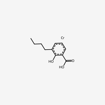 CCCCc1cccc(C(=O)O)c1O.[Cr]